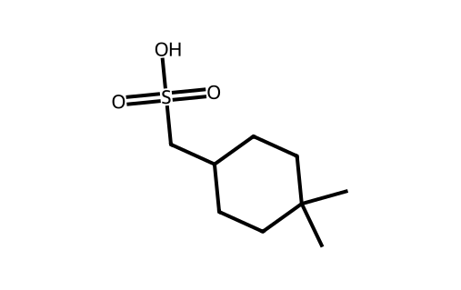 CC1(C)CCC(CS(=O)(=O)O)CC1